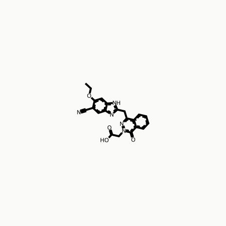 CCOc1cc2[nH]c(Cc3nn(CC(=O)O)c(=O)c4ccccc34)nc2cc1C#N